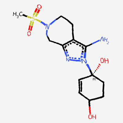 CS(=O)(=O)N1CCc2c(nn([C@]3(O)C=CC(O)CC3)c2N)C1